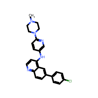 CN1CCN(c2ccc(Nc3ccnc4ccc(-c5ccc(Cl)cc5)cc34)cn2)CC1